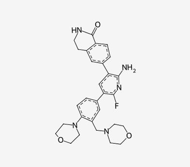 Nc1nc(F)c(-c2ccc(N3CCOCC3)c(CN3CCOCC3)c2)cc1-c1ccc2c(c1)CCNC2=O